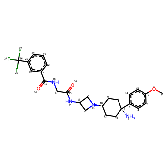 COc1ccc([C@]2(N)CC[C@H](N3CC(NC(=O)CNC(=O)c4cccc(C(F)(F)F)c4)C3)CC2)cc1